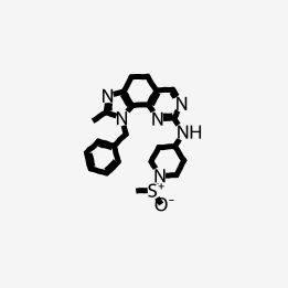 Cc1nc2c(n1Cc1ccccc1)-c1nc(NC3CCN([S+](C)[O-])CC3)ncc1CC2